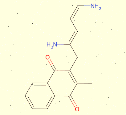 CC1=C(C/C(N)=C/C=C\N)C(=O)c2ccccc2C1=O